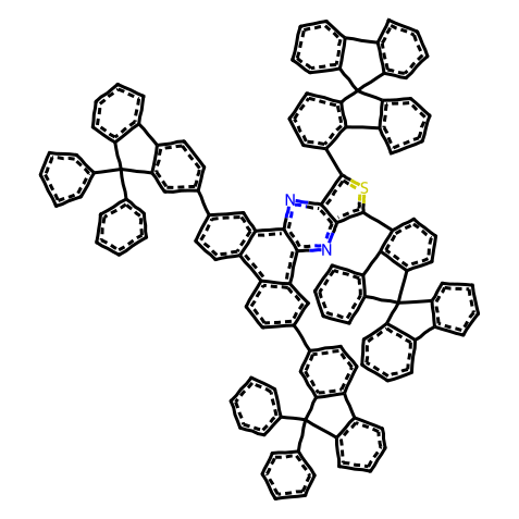 c1ccc(C2(c3ccccc3)c3ccccc3-c3ccc(-c4ccc5c6ccc(-c7ccc8c(c7)C(c7ccccc7)(c7ccccc7)c7ccccc7-8)cc6c6nc7c(-c8cccc9c8-c8ccccc8C98c9ccccc9-c9ccccc98)sc(-c8cccc9c8-c8ccccc8C98c9ccccc9-c9ccccc98)c7nc6c5c4)cc32)cc1